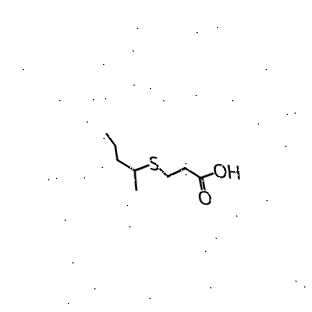 CCCC(C)SCCC(=O)O